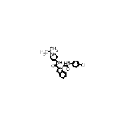 CC(C)N1CCC(NC(=O)C2Cc3ccccc3N2CC(=O)Nc2ccc(Cl)cc2)CC1